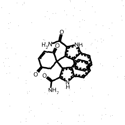 NC(=O)c1[nH]c2ccccc2c1C1(c2c(C(N)=O)[nH]c3ccccc23)CC(=O)C=CC1=O